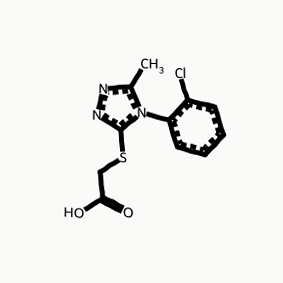 Cc1nnc(SCC(=O)O)n1-c1ccccc1Cl